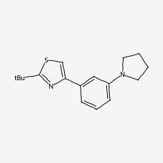 CC(C)(C)c1nc(-c2cccc(N3CCCC3)c2)cs1